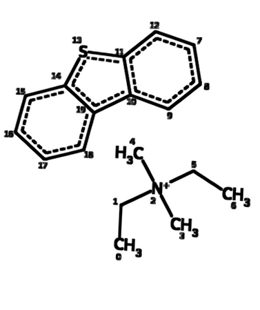 CC[N+](C)(C)CC.c1ccc2c(c1)sc1ccccc12